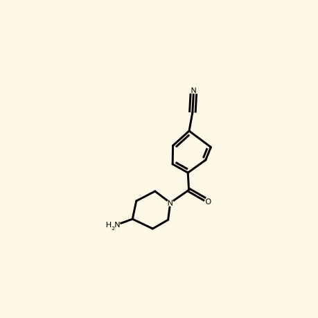 N#Cc1ccc(C(=O)N2CCC(N)CC2)cc1